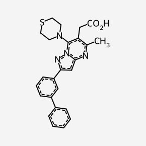 Cc1nc2cc(-c3cccc(-c4ccccc4)c3)nn2c(N2CCSCC2)c1CC(=O)O